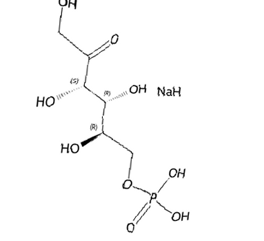 O=C(CO)[C@@H](O)[C@H](O)[C@H](O)COP(=O)(O)O.[NaH]